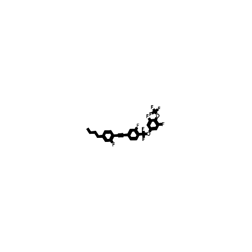 CCCCc1ccc(C#Cc2ccc(C(F)(F)Oc3cc(F)c(OC(F)(F)F)c(F)c3)c(F)c2)c(F)c1